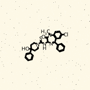 CN1C(=O)C(NC(=S)N2CCC(O)(c3ccccc3)CC2)N=C(c2ccccc2)c2cc(Cl)ccc21